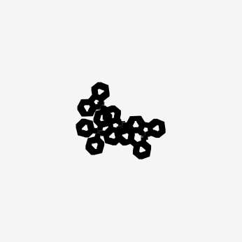 c1ccc(-c2ccccc2-n2c3ccccc3c3ccc(-n4c5ccc(-n6c7ccccc7c7ccccc76)cc5c5c([Si](c6ccccc6)(c6ccccc6)c6ccccc6)cccc54)cc32)cc1